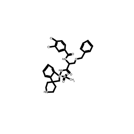 CS(=O)(=O)[N+]1(NC(=O)C(COCc2ccccc2)NC(=O)c2ccc(Cl)c(Cl)c2)CC2(CCNCC2)c2ccccc21